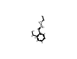 CCO/N=[C]/c1ccccc1CC